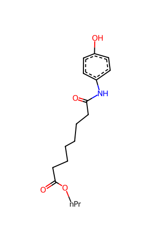 CCCOC(=O)CCCCCCC(=O)Nc1ccc(O)cc1